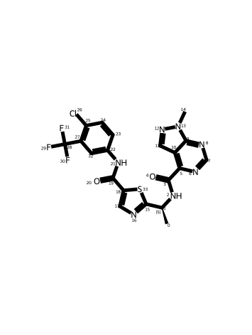 C[C@H](NC(=O)c1ncnc2c1cnn2C)c1ncc(C(=O)Nc2ccc(Cl)c(C(F)(F)F)c2)s1